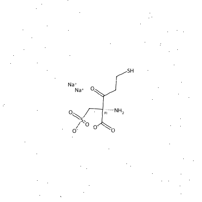 N[C@@](CS(=O)(=O)[O-])(C(=O)[O-])C(=O)CCS.[Na+].[Na+]